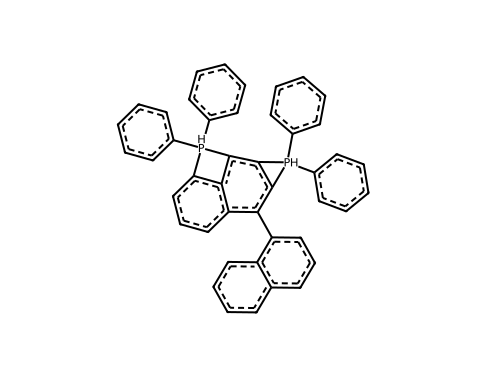 c1ccc([PH]2(c3ccccc3)c3c2c2c4c(cccc4c3-c3cccc4ccccc34)[PH]2(c2ccccc2)c2ccccc2)cc1